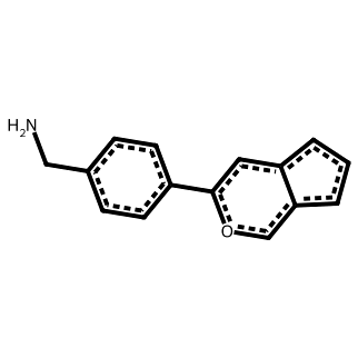 NCc1ccc(-c2cc3cccc-3co2)cc1